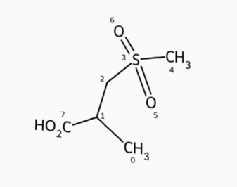 CC(CS(C)(=O)=O)C(=O)O